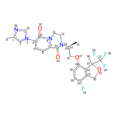 Cc1cn(-c2ccc3n(c2=O)CCN([C@@H](C)COc2ccc(F)c4c2C(C)(C(F)(F)F)OC4)C3=O)cn1